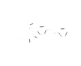 CCOC(=O)c1cc2cc(OCc3ccccc3)ccc2n1CC(=O)O